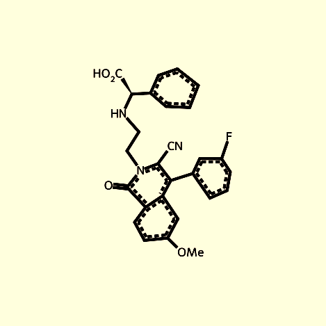 COc1ccc2c(=O)n(CCN[C@@H](C(=O)O)c3ccccc3)c(C#N)c(-c3cccc(F)c3)c2c1